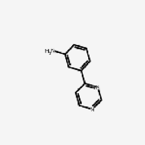 Nc1cccc(-c2ccncn2)c1